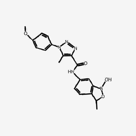 COc1ccc(-n2nnc(C(=O)Nc3ccc4c(c3)B(O)OC4C)c2C)cc1